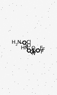 NCc1ccc(Cl)c(C(=O)Nc2ccc3cnn(-c4ccc(C(F)(F)F)cc4)c(=O)c3c2)c1